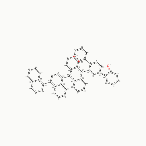 c1ccc(-c2cc3oc4ccccc4c3cc2-c2c3ccccc3c(-c3ccc(-c4cccc5ccccc45)c4ccccc34)c3ccccc23)cc1